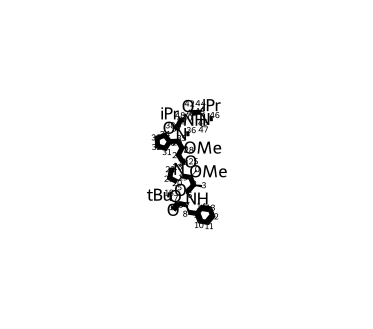 CO[C@H]([C@@H](C)C(=O)N[C@@H](Cc1ccccc1)C(=O)OC(C)(C)C)[C@@H]1CCCN1C(=O)C[C@@H](OC)[C@H](C1CCCC1)N(C)C(=O)[C@@H](NC(=O)[C@H](C(C)C)N(C)C)C(C)C